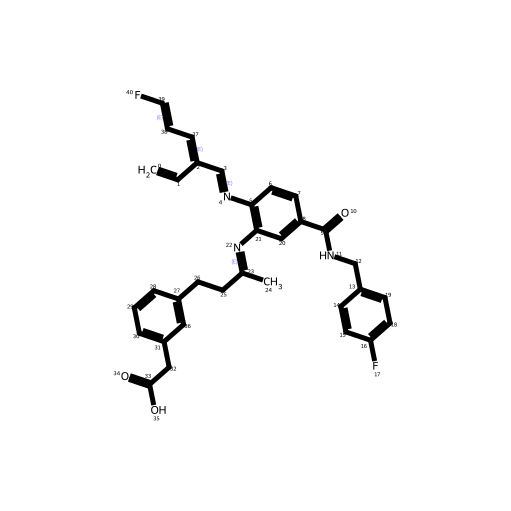 C=CC(/C=N/c1ccc(C(=O)NCc2ccc(F)cc2)cc1/N=C(\C)CCc1cccc(CC(=O)O)c1)=C\C=C\F